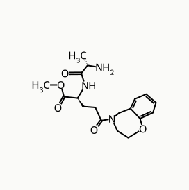 COC(=O)[C@H](CCC(=O)N1CCOc2ccccc2C1)NC(=O)[C@H](C)N